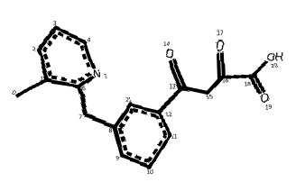 Cc1cccnc1Cc1cccc(C(=O)CC(=O)C(=O)O)c1